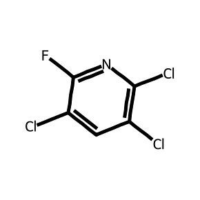 Fc1nc(Cl)c(Cl)cc1Cl